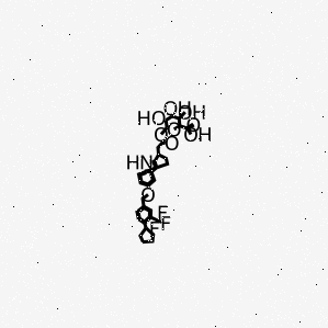 O=C(CC1CCc2c1[nH]c1ccc(OCc3ccc(C4CCCC4)c(C(F)(F)F)c3)cc21)OC1OC(C(=O)O)C(O)C(O)C1O